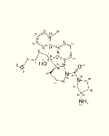 COCCCC[C@@](O)(c1ccccc1-c1ccccc1C)[C@@H]1CCCN(C(=O)N2CC[C@H](N)C2)C1